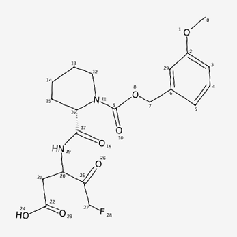 COc1cccc(COC(=O)N2CCCC[C@H]2C(=O)NC(CC(=O)O)C(=O)CF)c1